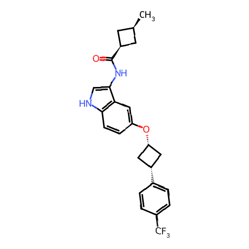 C[C@H]1C[C@@H](C(=O)Nc2c[nH]c3ccc(O[C@H]4C[C@@H](c5ccc(C(F)(F)F)cc5)C4)cc23)C1